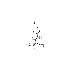 C/C(O)=C(\C#N)C(=O)N[C@H]1CC[C@H](C(C)(C)C)CC1